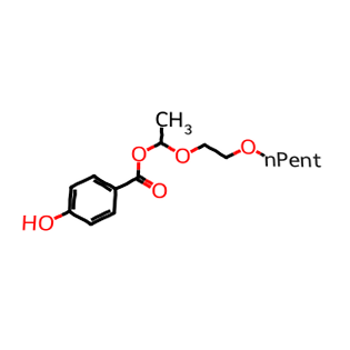 CCCCCOCCOC(C)OC(=O)c1ccc(O)cc1